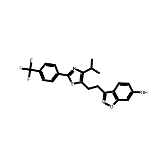 CC(C)c1nc(-c2ccc(C(F)(F)F)cc2)sc1CCc1noc2cc(O)ccc12